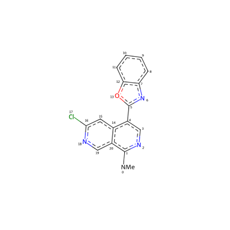 CNc1ncc(-c2nc3ccccc3o2)c2cc(Cl)ncc12